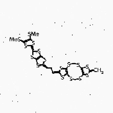 C=C1SC2=C(SCSC3=C(SCS2)SC(=CCC=C2SC4=C(S2)SC(=C2SC(SC)=C(SC)S2)S4)S3)S1